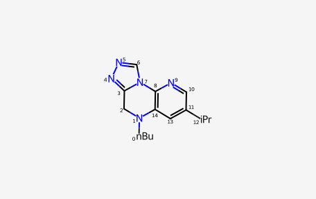 CCCCN1Cc2nncn2-c2ncc(C(C)C)cc21